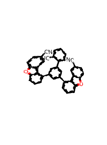 N#Cc1ccc2oc3cccc(-c4cc(-c5ccccc5C#N)cc(-c5cccc6oc7ccc(C#N)cc7c56)c4)c3c2c1